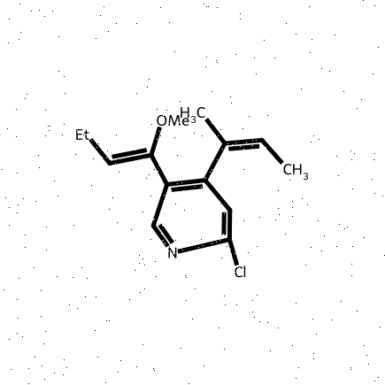 C/C=C(/C)c1cc(Cl)ncc1/C(=C/CC)OC